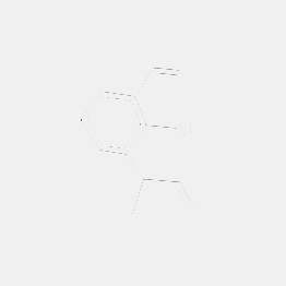 [CH2]C(C=C)c1cccc(C=C)c1C(F)(F)F